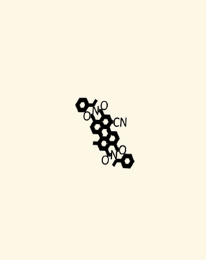 Cc1cc2c3c(ccc4c5c(C#N)cc6c7c(ccc(c1c34)c75)C(=O)N(C(C)c1ccccc1)C6=O)C(=O)N(C(C)c1ccccc1)C2=O